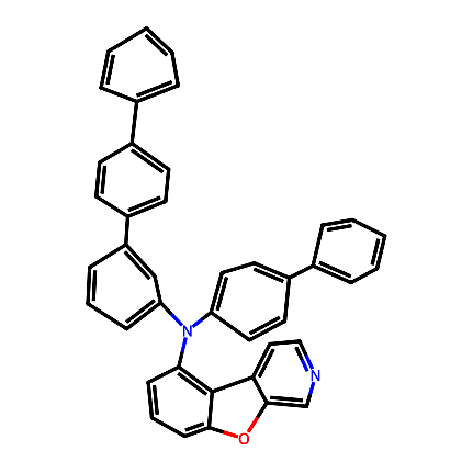 c1ccc(-c2ccc(-c3cccc(N(c4ccc(-c5ccccc5)cc4)c4cccc5oc6cnccc6c45)c3)cc2)cc1